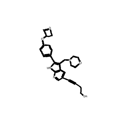 OCCC#Cc1cnc2[nH]c(-c3ccc(OC4COC4)cc3)c(CN3CCOCC3)c2c1